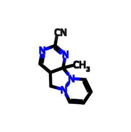 CC12N=C(C#N)N=CC1CN1C=CC=CN12